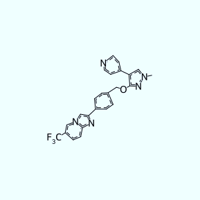 Cn1cc(-c2ccncc2)c(OCc2ccc(-c3cn4cc(C(F)(F)F)ccc4n3)cc2)n1